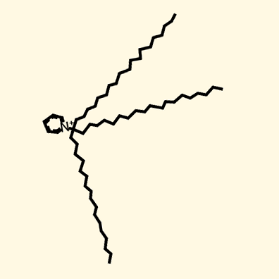 CCCCCCCCCCCCCCCCCCCC(CCCCCCCCCCCCCCCCC)(CCCCCCCCCCCCCCCCCCC)[n+]1ccccc1